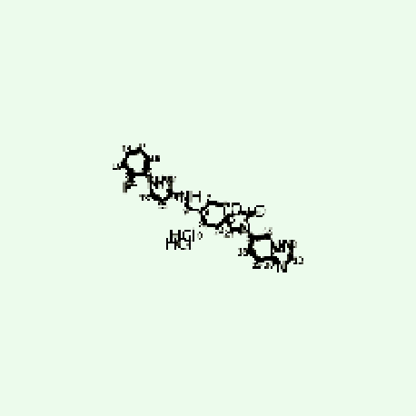 Cl.Cl.O=C1O[C@]2(CC[C@H](CNc3ccn(-c4ccccc4F)n3)CC2)CN1c1ccc2ncnn2c1